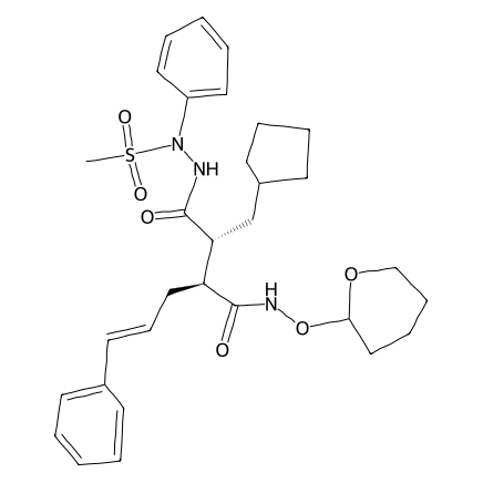 CS(=O)(=O)N(NC(=O)[C@H](CC1CCCC1)[C@H](CC=Cc1ccccc1)C(=O)NOC1CCCCO1)c1ccccc1